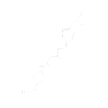 COc1ccc(NN=CC(=O)CSc2ccc(S[S+](C)[O-])cc2)cc1